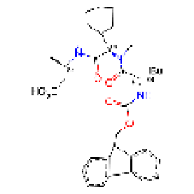 CC[C@H](C)[C@H](NC(=O)OCC1c2ccccc2-c2ccccc21)C(=O)N(C)[C@@H](C(=O)N(C)[C@H](C)CC(=O)O)C1CCCCC1